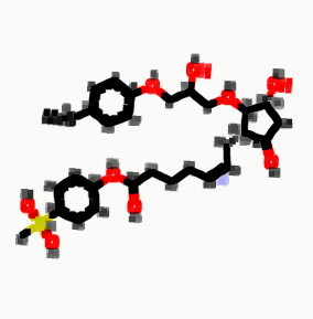 CSc1ccc(OCC(O)CO[C@H]2[C@H](O)CC(=O)[C@@H]2C/C=C\CCCC(=O)Oc2ccc(S(C)(=O)=O)cc2)cc1